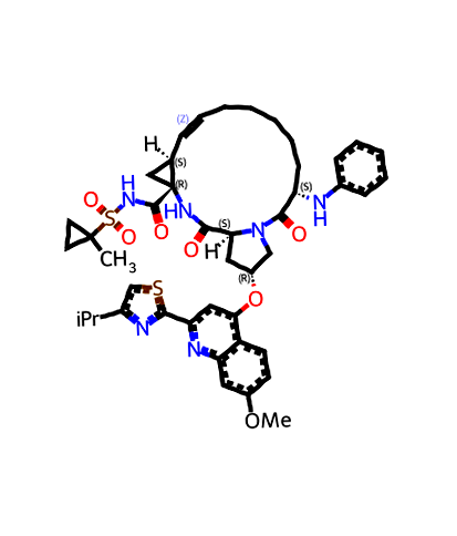 COc1ccc2c(O[C@@H]3C[C@H]4C(=O)N[C@]5(C(=O)NS(=O)(=O)C6(C)CC6)C[C@H]5/C=C\CCCCC[C@H](Nc5ccccc5)C(=O)N4C3)cc(-c3nc(C(C)C)cs3)nc2c1